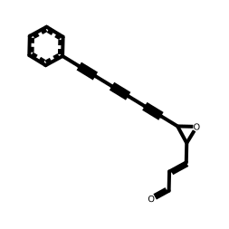 O=CC=CC1OC1C#CC#CC#Cc1ccccc1